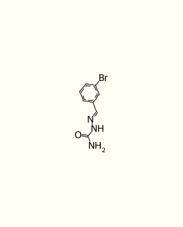 NC(=O)N/N=C/c1cccc(Br)c1